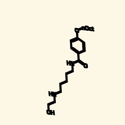 CCCCCCCCOc1ccc(C(=O)NCCCCCNCCO)cc1